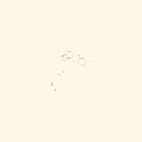 COc1cc(Cl)c(Cl)cc1Nc1ncnc2[nH]c3c(c12)C[C@@H](C(=O)NCCCS(C)(=O)=O)CC3